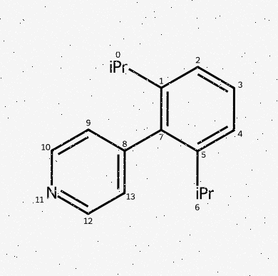 CC(C)c1cccc(C(C)C)c1-c1ccncc1